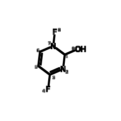 OC1N=C(F)C=CN1F